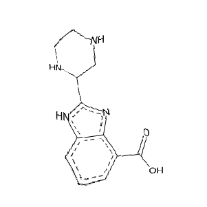 O=C(O)c1cccc2[nH]c(C3CNCCN3)nc12